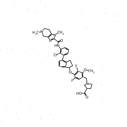 COc1c(CN2CCC(C(=O)O)C2)cc(F)c(OC2CCc3c(-c4cccc(NC(=O)c5nc6c(n5C)CCN(C)C6)c4Cl)cccc32)c1F